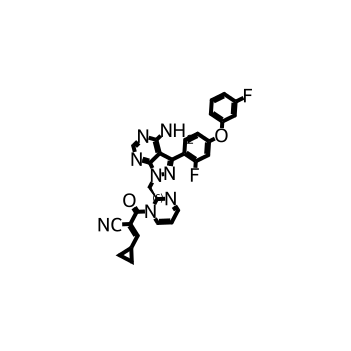 N#CC(=CC1CC1)C(=O)N1C=CC=N[C@@H]1Cn1nc(-c2ccc(Oc3cccc(F)c3)cc2F)c2c(N)ncnc21